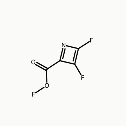 O=C(OF)C1=NC(F)=C1F